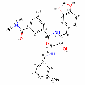 CCCN(CCC)C(=O)c1cc(C)cc(C(=O)N[C@@H](Cc2ccc3c(c2)OCO3)[C@H](O)CNCc2cccc(OC)c2)c1